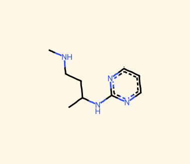 CNCCC(C)Nc1n[c]ccn1